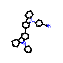 N#Cc1ccc(-n2c3ccccc3c3ccc(-c4ccc5c(c4)c4ccccc4n5-c4ccccc4)cc32)cc1